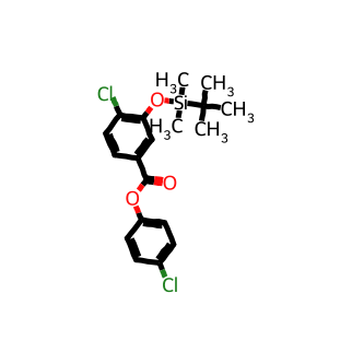 CC(C)(C)[Si](C)(C)Oc1cc(C(=O)Oc2ccc(Cl)cc2)ccc1Cl